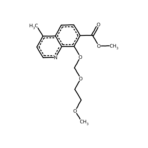 COCCOCOc1c(C(=O)OC)ccc2c(C)ccnc12